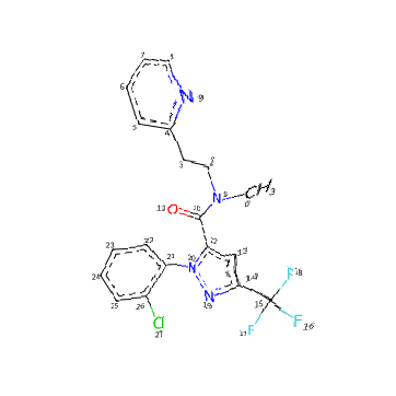 CN(CCc1ccccn1)C(=O)c1cc(C(F)(F)F)nn1-c1ccccc1Cl